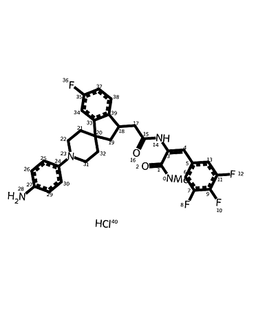 CNC(=O)C(=Cc1cc(F)c(F)c(F)c1)NC(=O)CC1CC2(CCN(c3ccc(N)cc3)CC2)c2cc(F)ccc21.Cl